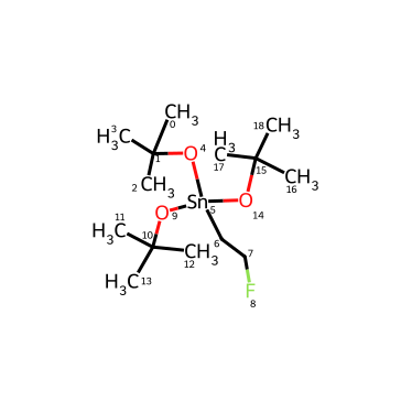 CC(C)(C)[O][Sn]([CH2]CF)([O]C(C)(C)C)[O]C(C)(C)C